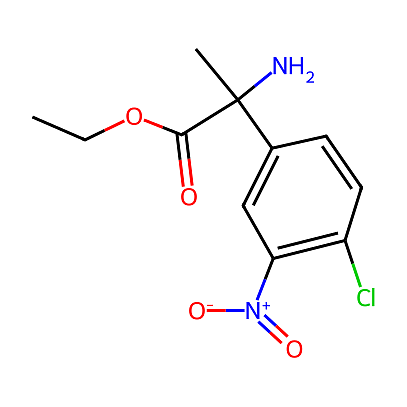 CCOC(=O)C(C)(N)c1ccc(Cl)c([N+](=O)[O-])c1